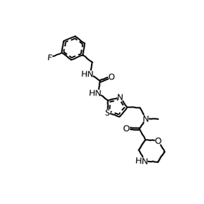 CN(Cc1csc(NC(=O)NCc2cccc(F)c2)n1)C(=O)C1CNCCO1